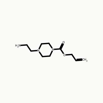 C=CCOC(=O)N1CCN(CCN)CC1